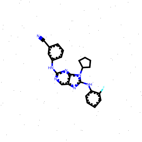 N#Cc1cccc(Nc2ncc3nc(Nc4ccccc4F)n(C4CCCC4)c3n2)c1